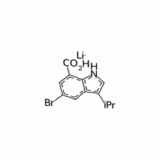 CC(C)c1c[nH]c2c(C(=O)O)cc(Br)cc12.[Li]